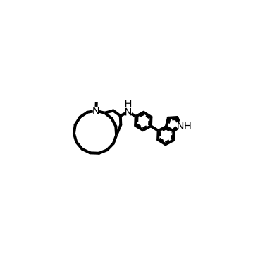 CN1CCCCCCCCCCC2CCC1CC(Nc1ccc(-c3cccc4[nH]ccc34)cc1)C2